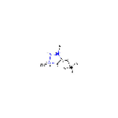 CCCn1cc(C[Si](C)(C)C)[n+](C)n1